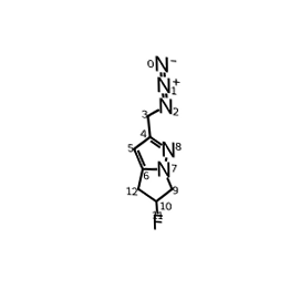 [N-]=[N+]=NCc1cc2n(n1)CC(F)C2